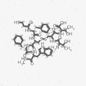 CNC(=O)C(Cc1c[nH]c2ccccc12)NC(=O)[C@H](Cc1ccccc1)NC(=O)C(CSSCC(NC(=O)C(N)[C@@H](C)O)C(=O)NC(C(=O)O)[C@@H](C)O)NC(=O)[C@@H](Cc1ccccc1)NC(=O)CCS